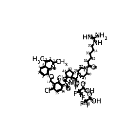 Cc1cc(C)c2cccc(OCc3c(Cl)ccc(S(=O)(=O)NC4(C(=O)N5CCN(C(=O)CCCCCNC(=N)N)CC5)CCCC4)c3Cl)c2n1.O=C(O)C(F)(F)F.O=C(O)C(F)(F)F